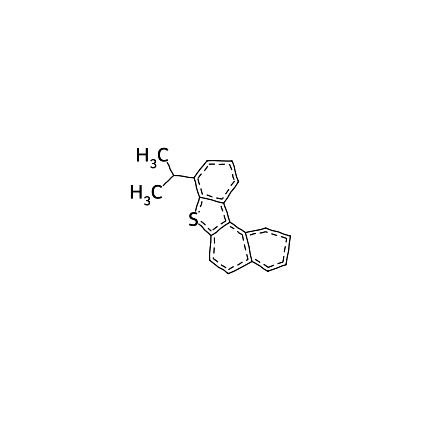 CC(C)c1cccc2c1sc1ccc3ccccc3c12